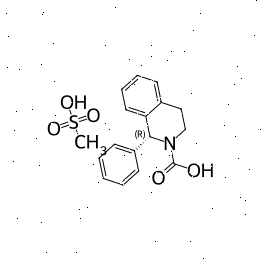 CS(=O)(=O)O.O=C(O)N1CCc2ccccc2[C@H]1c1ccccc1